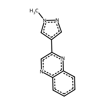 Cn1cc(-c2cnc3ccccc3n2)cn1